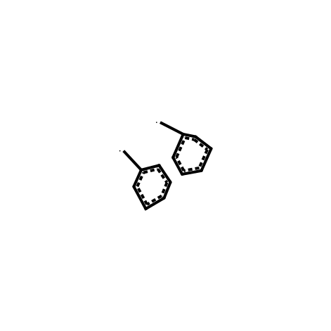 [CH2]c1ccccc1.[CH2]c1ccccc1